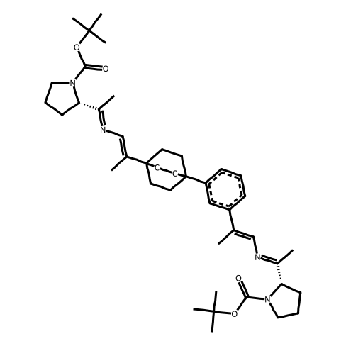 C/C(=C\N=C(/C)[C@@H]1CCCN1C(=O)OC(C)(C)C)c1cccc(C23CCC(/C(C)=C/N=C(\C)[C@@H]4CCCN4C(=O)OC(C)(C)C)(CC2)CC3)c1